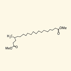 COC(=O)CCCCCCCCCCCCCCCC(C)CCC(=O)OC